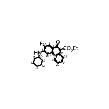 CCOC(=O)c1c(=O)c2cc(F)c(NC3CCCCC3)cc2n2ccccc12